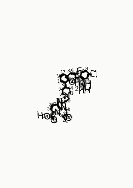 [2H]C([2H])([2H])Oc1cc(Cl)ccc1[C@]1([2H])Oc2c(cccc2C2CCN(Cc3nc4ccc(C(=O)O)nc4n3C[C@@H]3CCO3)CC2)C=C1F